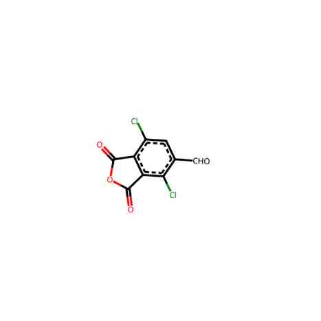 O=Cc1cc(Cl)c2c(c1Cl)C(=O)OC2=O